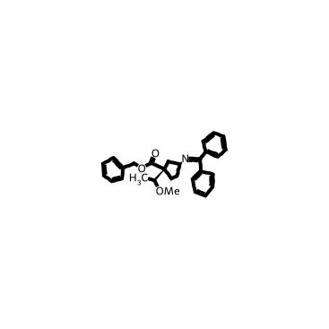 COC(C)[C@]1(C(=O)OCc2ccccc2)CC[C@@H](N=C(c2ccccc2)c2ccccc2)C1